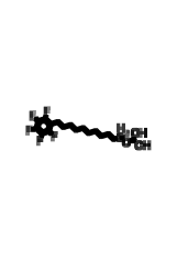 OC(O)O[SiH2]CCCCCCCCCCc1c(F)c(F)c(F)c(F)c1F